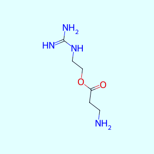 N=C(N)NCCOC(=O)CCN